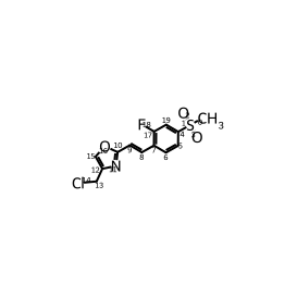 CS(=O)(=O)c1ccc(/C=C/c2nc(CCl)co2)c(F)c1